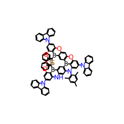 Cc1cc(C)c(N2c3cc4c(cc3B3c5cc6c(cc5Oc5cc(-n7c8ccccc8c8ccccc87)cc2c53)Oc2cc(-n3c5ccccc5c5ccccc53)cc3c2B6c2sc5ccccc5c2O3)B2c3sc5ccccc5c3Oc3cc(-n5c6ccccc6c6ccccc65)cc(c32)N4)c(C)c1